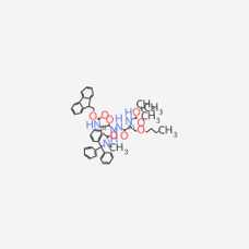 CCCCOC[C@H](NC(=O)OC(C)(C)C)C(=O)NNC(=O)[C@H](CC(=O)N(C)C(c1ccccc1)(c1ccccc1)c1ccccc1)NC(=O)OCC1c2ccccc2-c2ccccc21